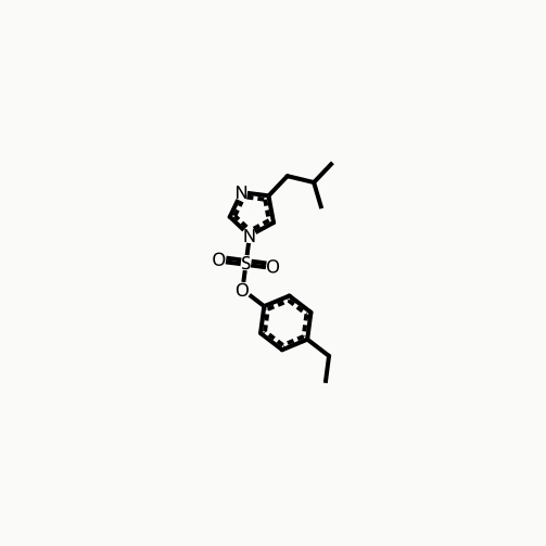 CCc1ccc(OS(=O)(=O)n2cnc(CC(C)C)c2)cc1